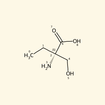 CC[C@](N)(CO)C(=O)O